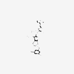 C=C/C(=C\C=C(/C)CC(=O)Nc1sc2c(c1C#N)CCN(Cc1cc(C)cc(C)c1)C2)S(C)(=O)=O